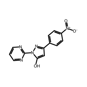 O=[N+]([O-])c1ccc(-c2cc(O)n(-c3ncccn3)n2)cc1